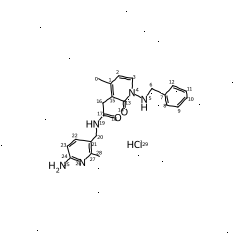 Cc1ccn(NCc2ccccc2)c(=O)c1CC(=O)NCc1ccc(N)nc1C.Cl